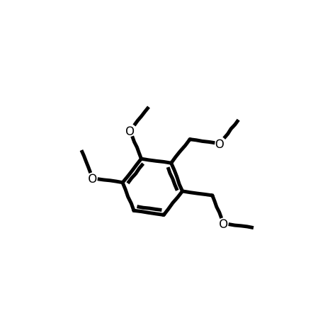 COCc1ccc(OC)c(OC)c1COC